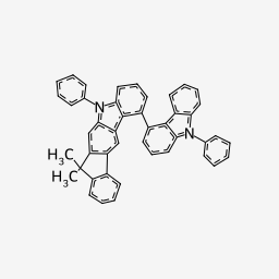 CC1(C)c2ccccc2-c2cc3c4c(-c5cccc6c5c5ccccc5n6-c5ccccc5)cccc4n(-c4ccccc4)c3cc21